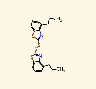 CCCc1cccc2sc(SSc3nc4c(CCC)cccc4s3)nc12